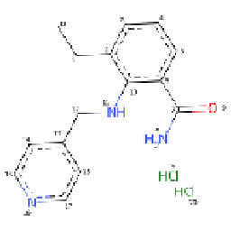 CCc1cccc(C(N)=O)c1NCc1ccncc1.Cl.Cl